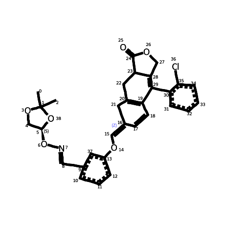 CC1(C)OC[C@H](ON=Cc2cccc(O/C=C3\C=CC4=C(C3)CC3C(=O)OCC3=C4c3ccccc3Cl)c2)O1